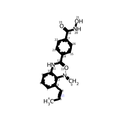 C=Nc1c(/C=C\C)cccc1NC(=O)c1ccc(C(=O)NO)cc1